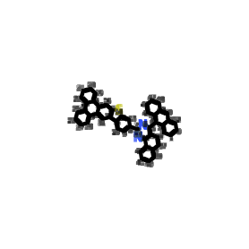 c1ccc2c(-c3nc(-c4ccc5c(c4)sc4cc6c7ccccc7c7ccccc7c6cc45)nc4c3ccc3ccccc34)c3ccccc3cc2c1